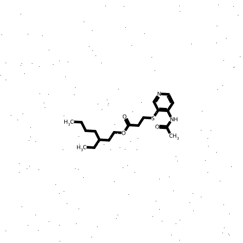 CCCCC(CC)CCOC(=O)CCSc1cnccc1NC(C)=O